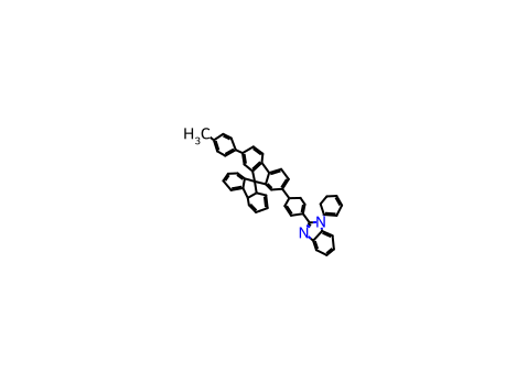 Cc1ccc(-c2ccc3c(c2)C2(c4cc(C5C=CC(c6nc7ccccc7n6C6=CC=CCC6)=CC5)ccc4-3)c3ccccc3C3C=CC=CC32)cc1